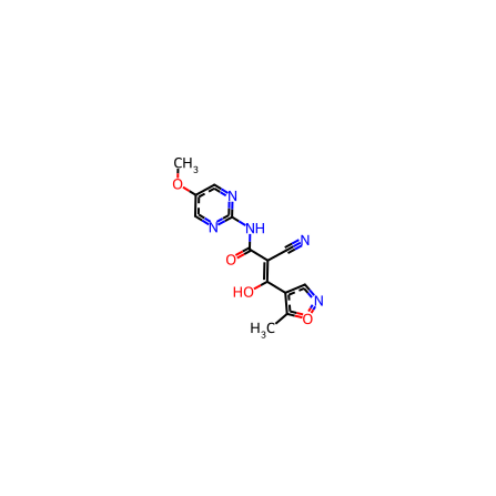 COc1cnc(NC(=O)/C(C#N)=C(\O)c2cnoc2C)nc1